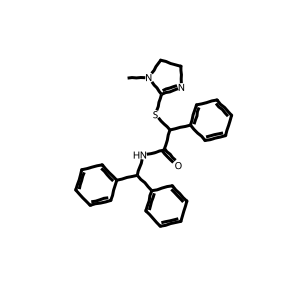 CN1CCN=C1SC(C(=O)NC(c1ccccc1)c1ccccc1)c1ccccc1